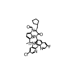 Cc1ncc(Cl)cc1N[C@@H](C)c1ccc(N(C=O)[C@@H](CC2CCCC2)C(=O)Nc2ccc3ncc(F)cc3c2)s1